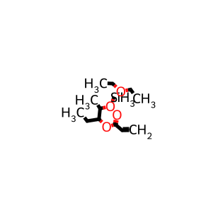 C=CC(=O)OC(CC)C(C)O[SiH3].CCOCC